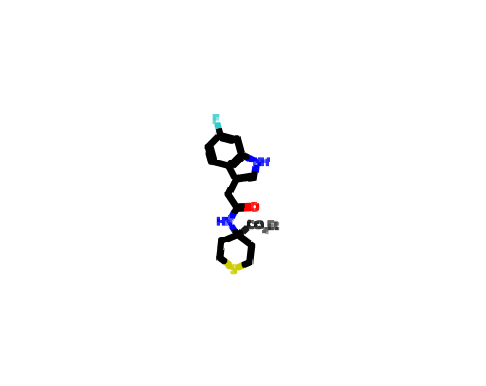 CCOC(=O)C1(NC(=O)Cc2c[nH]c3cc(F)ccc23)CCSCC1